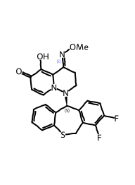 CO/N=C1\CCN([C@@H]2c3ccccc3SCc3c2ccc(F)c3F)n2ccc(=O)c(O)c21